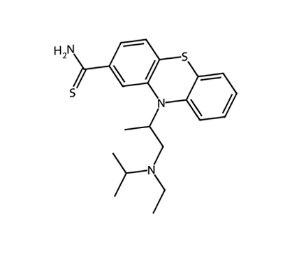 CCN(CC(C)N1c2ccccc2Sc2ccc(C(N)=S)cc21)C(C)C